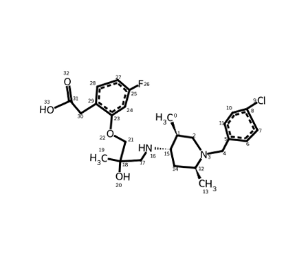 C[C@H]1CN(Cc2ccc(Cl)cc2)[C@@H](C)C[C@@H]1NCC(C)(O)COc1cc(F)ccc1CC(=O)O